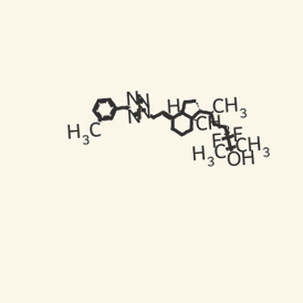 Cc1cccc(-c2nnn(C/C=C3\CCC[C@]4(C)[C@@H]([C@H](C)CCC(F)(F)C(C)(C)O)CC[C@@H]34)n2)c1